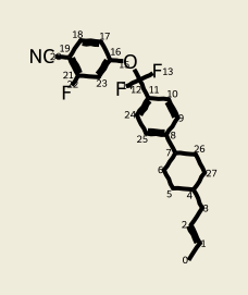 C/C=C/CC1CCC(c2ccc(C(F)(F)Oc3ccc(C#N)c(F)c3)cc2)CC1